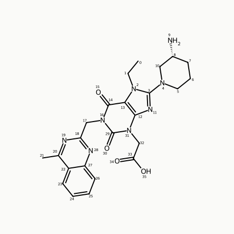 CCn1c(N2CCC[C@@H](N)C2)nc2c1c(=O)n(Cc1nc(C)c3ccccc3n1)c(=O)n2CC(=O)O